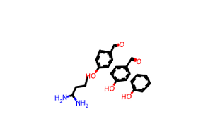 CCCC(N)N.O=Cc1ccc(O)cc1.O=Cc1ccc(O)cc1.Oc1ccccc1